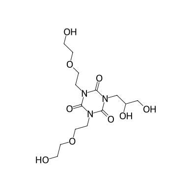 O=c1n(CCOCCO)c(=O)n(CC(O)CO)c(=O)n1CCOCCO